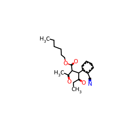 CCCCCCOC(=O)C(C(C)=O)C(C(=O)CC)c1ccccc1C#N